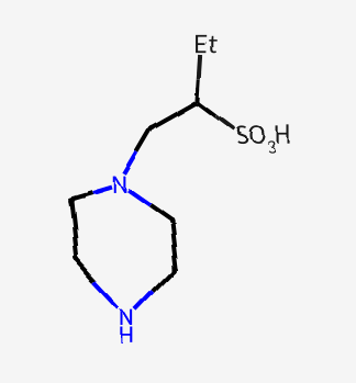 CCC(CN1CCNCC1)S(=O)(=O)O